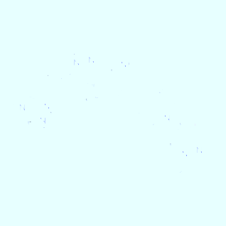 Cc1cc(-c2[nH]nc(-c3ncc(C4CCN(C(=O)CN(C)N)CC4)s3)c2C(C)C)cn2ncnc12